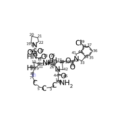 N[C@H]1CCCCC/C=C\[C@@H]2C[C@@]2(C(=O)NS(=O)(=O)N2CCCC2)NC(=O)[C@@H]2C[C@@H](OC(=O)N3Cc4cccc(Cl)c4C3)CN2C1=O